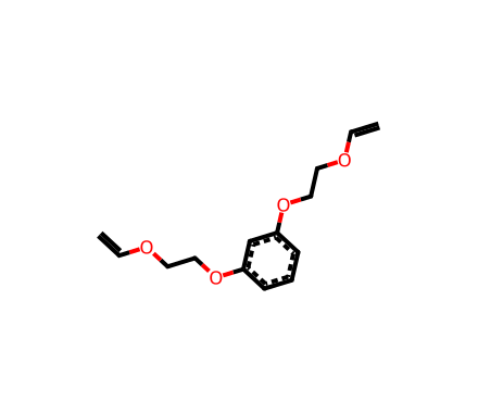 C=COCCOc1cccc(OCCOC=C)c1